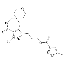 CCn1nc(CCCOC(=O)c2cc(C)ns2)c2c1C(=O)NCC1(CCOCC1)C2